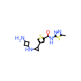 Cc1nnc(NC(=O)c2cc(C3CC3NC3CC(N)C3)cs2)s1